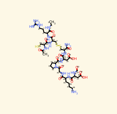 CCNC(=O)C(CCCNC(=N)N)NC(=O)C(CSSCC(NC(=O)C(CC(=O)O)NC(=O)C1CCCN1C(=O)CNC(=O)C(CCCCN)NC(=O)C(CC(=O)O)NC=O)C(N)=O)NC(=O)C(CS)NC(C)=O